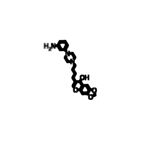 Nc1cccc(N2CCN(CCCCC3=COc4cc5c(cc4C3O)OCO5)CC2)c1